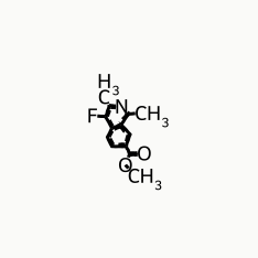 COC(=O)c1ccc2c(F)c(C)nc(C)c2c1